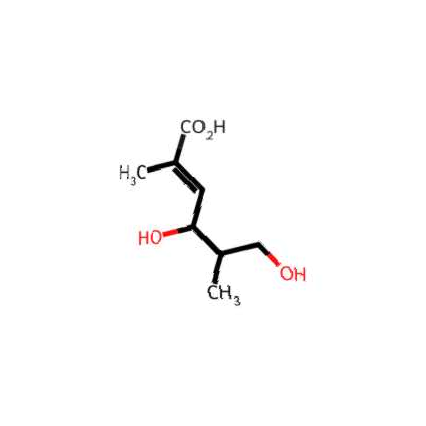 CC(=CC(O)C(C)CO)C(=O)O